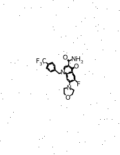 NC(=O)c1cn(Cc2ccc(C(F)(F)F)cc2)c2cc(N3CCOCC3)c(F)cc2c1=O